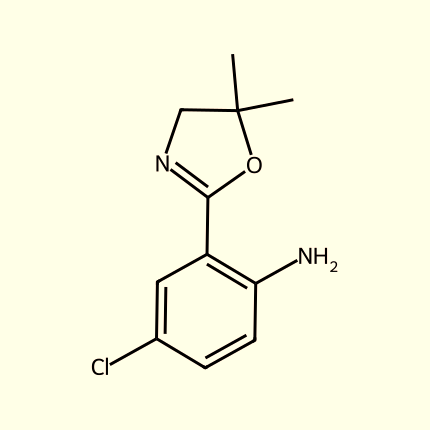 CC1(C)CN=C(c2cc(Cl)ccc2N)O1